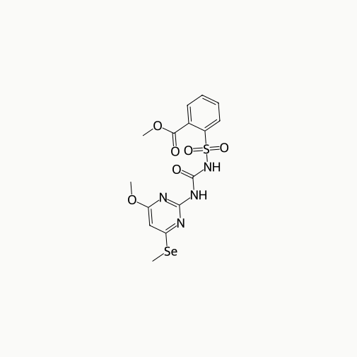 COC(=O)c1ccccc1S(=O)(=O)NC(=O)Nc1nc(OC)cc([Se]C)n1